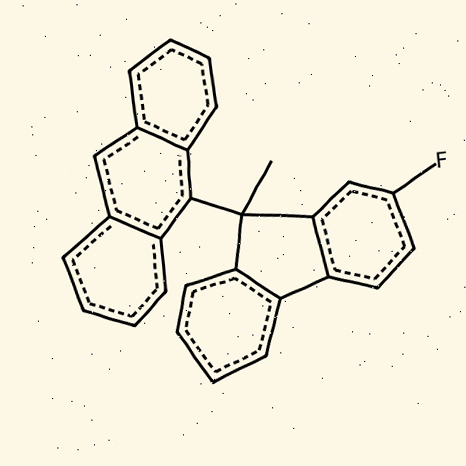 CC1(c2c3ccccc3cc3ccccc23)c2ccccc2-c2ccc(F)cc21